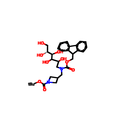 CC(C)(C)OC(=O)N1CC(CN(C[C@H](O)[C@@H](O)[C@H](O)[C@H](O)CO)C(=O)OCC2c3ccccc3-c3ccccc32)C1